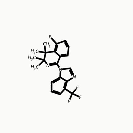 CC1(C)N=C(n2cnc3c(C(F)(F)F)cccc32)c2cccc(F)c2C1(C)C